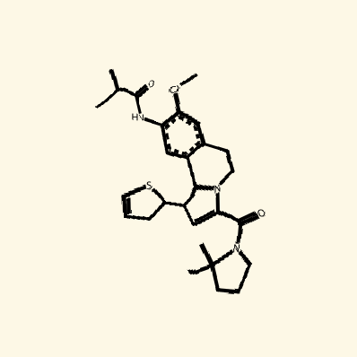 COc1cc2c(cc1NC(=O)C(C)C)C1C(C3CC=CS3)C=C(C(=O)N3CCCC3(C)C)N1CC2